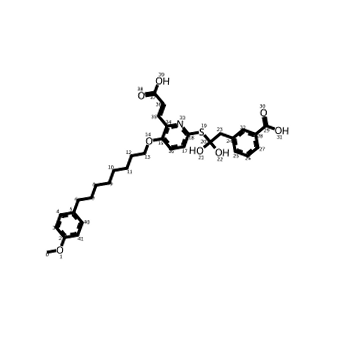 COc1ccc(CCCCCCCCOc2ccc(SC(O)(O)Cc3cccc(C(=O)O)c3)nc2C=CC(=O)O)cc1